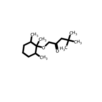 CC1CCCC(C)C1(C)OCC(=O)CC(C)(C)C